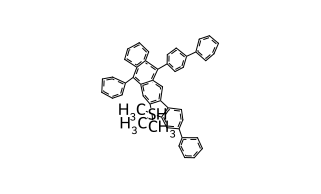 C[SH]1(C)(C)c2cc(-c3ccccc3)ccc2-c2cc3c(-c4ccc(-c5ccccc5)cc4)c4ccccc4c(-c4ccccc4)c3cc21